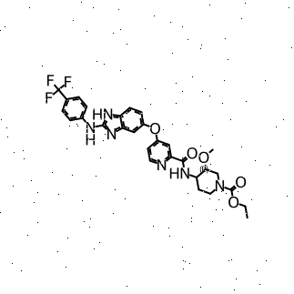 CCOC(=O)N1CCC(NC(=O)c2cc(Oc3ccc4[nH]c(Nc5ccc(C(F)(F)F)cc5)nc4c3)ccn2)[C@H](OC)C1